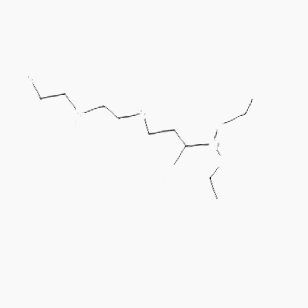 CCO[SiH](OCC)C(C)CCNCCNCCN